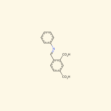 O=C(O)c1ccc(C=Nc2ccccc2)c(C(=O)O)c1